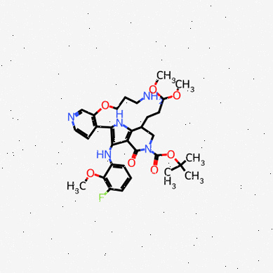 COc1c(F)cccc1Nc1c(-c2ccncc2OCCCN)[nH]c2c1C(=O)N(C(=O)OC(C)(C)C)CC2CCC(OC)OC